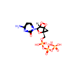 Nc1ccn([C@@H]2O[C@@]3(COP(=O)(O)OP(=O)(O)OP(=O)(O)O)C[C@@]34OO[C@@H]24)c(=O)n1